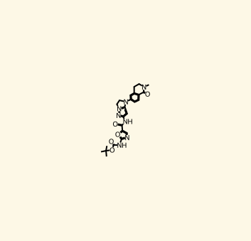 CN1CCc2cc(N3CCn4nc(NC(=O)c5cnc(NC(=O)OC(C)(C)C)o5)cc43)ccc2C1=O